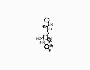 N=C(NCCNc1nonc1/C(=N/O)Nc1ccc(F)c(Br)c1)NC1CCCCC1